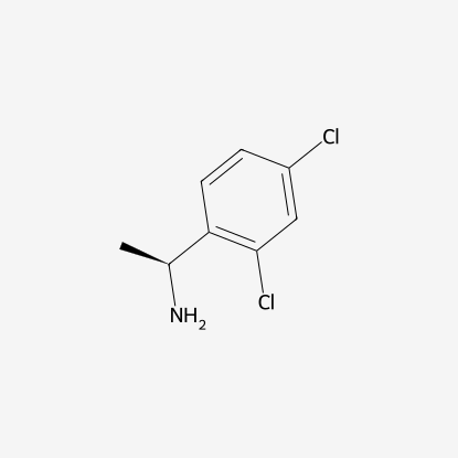 C[C@H](N)c1ccc(Cl)cc1Cl